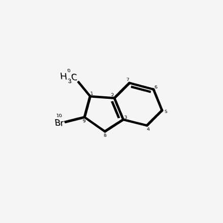 CC1C2=C(CCC=C2)CC1Br